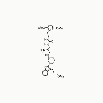 COCCCn1c(C2CCCN(C(=O)CC(N)CNC(=O)NCCc3cc(OC)ccc3OC)C2)nc2ccccc21